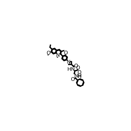 CCc1cc2cc3c([n+](C)c2cc1OC)-c1ccc(N2CC(C(=O)NC(CNC(=O)C4=C/C=C\C=C/C=C\4)C(=O)O)C2)cc1OC3